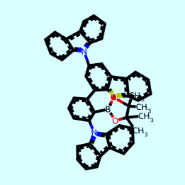 CC1(C)OB(c2c(-c3cc(-n4c5ccccc5c5ccccc54)cc4c3sc3ccccc34)cccc2-n2c3ccccc3c3ccccc32)OC1(C)C